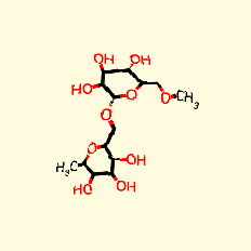 COCC1O[C@H](OCC2OC(C)C(O)C(O)[C@@H]2O)C(O)C(O)[C@@H]1O